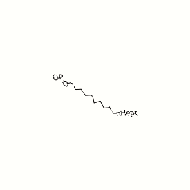 CCCCCCCCCCCCCCCCCOP=O